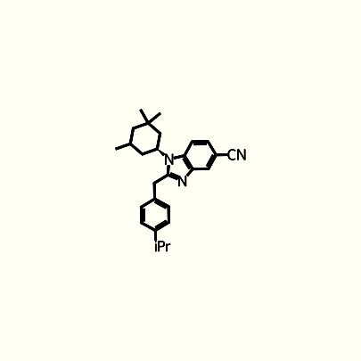 CC1C[C@H](n2c(Cc3ccc(C(C)C)cc3)nc3cc(C#N)ccc32)CC(C)(C)C1